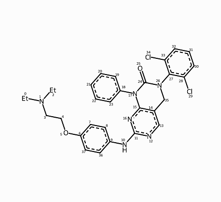 CCN(CC)CCOc1ccc(Nc2ncc3c(n2)N(c2ccccc2)C(=O)N(c2c(Cl)cccc2Cl)C3)cc1